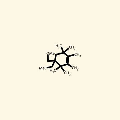 COCC1(COC)CC(C)(C)C(C)=C(C)C1(C)C